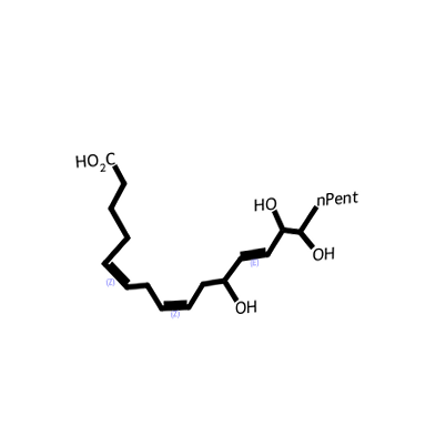 CCCCCC(O)C(O)/C=C/C(O)C/C=C\C/C=C\CCCC(=O)O